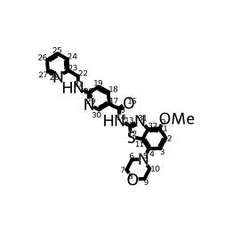 COc1ccc(N2CCOCC2)c2sc(NC(=O)c3ccc(NCc4ccccn4)nc3)nc12